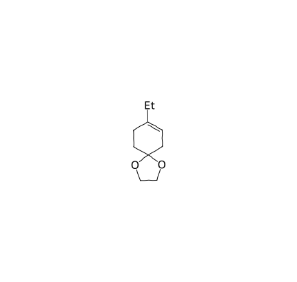 CCC1=CCC2(CC1)OCCO2